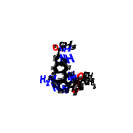 CNC(=O)c1cc2ccc(-c3nn(C(=O)OC(C)(C)C)c4ncnc(N)c34)cc2[nH]1